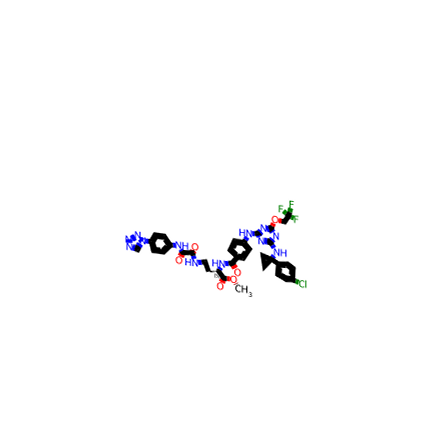 COC(=O)[C@H](CCNC(=O)C(=O)Nc1ccc(-n2cnnn2)cc1)NC(=O)c1ccc(Nc2nc(NC3(c4ccc(Cl)cc4)CC3)nc(OCC(F)(F)F)n2)cc1